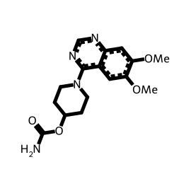 COc1cc2ncnc(N3CCC(OC(N)=O)CC3)c2cc1OC